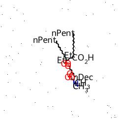 CCCCCC=CCC=CCCCCCCC(CC)(CCCC(CC)(CCCCCCC=CCC=CCCCCC)C(=O)OOCCCC(CCCCCCCCCCCC)OC(=O)OCCCN(C)C)C(=O)O